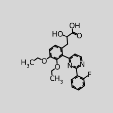 CCOc1ccc(C[C@@H](O)C(=O)O)c(-c2ccnc(-c3ccccc3F)n2)c1OCC